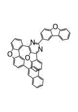 c1ccc2cc(-c3ccc4oc5cccc(-c6nc(-c7ccc8oc9ccccc9c8c7)nc7c6oc6ccccc67)c5c4c3)ccc2c1